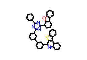 c1ccc(-c2nc(-c3cccc(-c4cccc(-c5nc6ccccc6c6c5sc5ccccc56)c4)c3)nc(-c3cccc4c3oc3ccccc34)n2)cc1